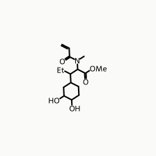 C=CC(=O)N(C)C(C(=O)OC)C(CC)C1CCC(O)C(O)C1